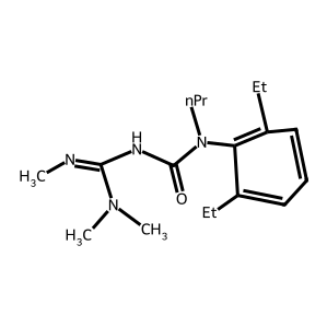 CCCN(C(=O)NC(=NC)N(C)C)c1c(CC)cccc1CC